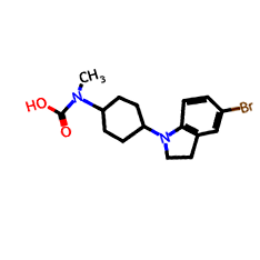 CN(C(=O)O)C1CCC(N2CCc3cc(Br)ccc32)CC1